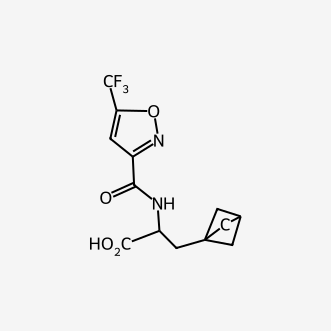 O=C(NC(CC12CC(C1)C2)C(=O)O)c1cc(C(F)(F)F)on1